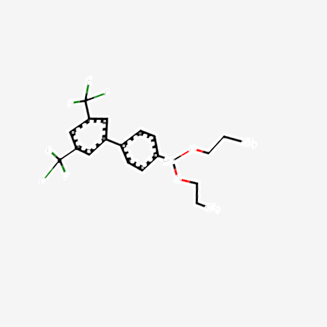 CCCO[SiH](OCCC)c1ccc(-c2cc(C(F)(F)F)cc(C(F)(F)F)c2)cc1